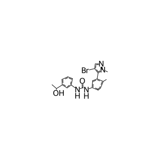 Cc1ccc(NC(=O)Nc2cccc(C(C)O)c2)cc1-c1c(Br)cnn1C